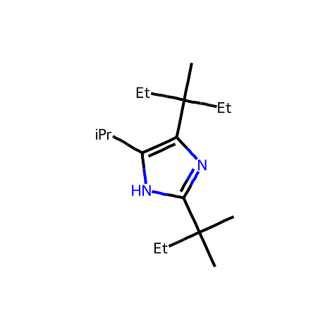 CCC(C)(C)c1nc(C(C)(CC)CC)c(C(C)C)[nH]1